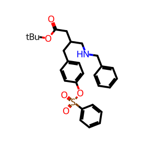 CC(C)(C)OC(=O)CC(CNCc1ccccc1)Cc1ccc(OS(=O)(=O)c2ccccc2)cc1